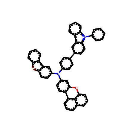 c1ccc(-n2c3ccccc3c3cc(-c4ccc(N(c5ccc6c(c5)Oc5cccc7cccc-6c57)c5ccc6sc7ccccc7c6c5)cc4)ccc32)cc1